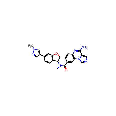 CN(C(=O)c1ccc2nc(N)c3cncn3c2c1)[C@@H]1COc2cc(-c3cnn(C(F)(F)F)c3)ccc21